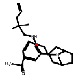 C=CCC(C)(C)CNCCCN1C2CCC1CC(c1cccc(C(N)=O)c1)C2